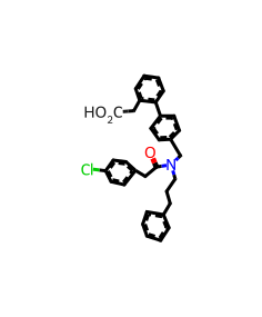 O=C(O)Cc1ccccc1-c1ccc(CN(CCCc2ccccc2)C(=O)Cc2ccc(Cl)cc2)cc1